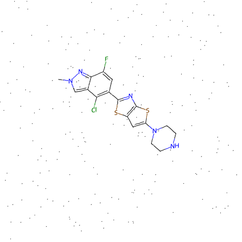 Cn1cc2c(Cl)c(-c3nc4sc(N5CCNCC5)cc4s3)cc(F)c2n1